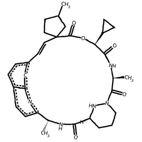 CC1CCC2(/C=C/c3ccc4ccc(nc4c3)[C@@H](C)NC(=O)[C@@H]3CCCN(N3)C(=O)[C@H](C)NC(=O)[C@H](C3CC3)OC2=O)C1